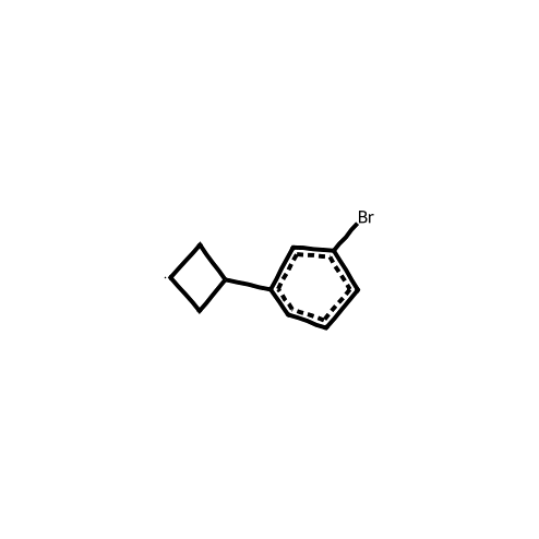 Brc1cccc(C2C[CH]C2)c1